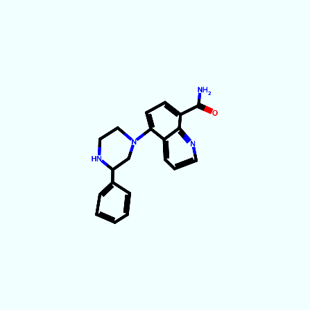 NC(=O)c1ccc(N2CCNC(c3ccccc3)C2)c2cccnc12